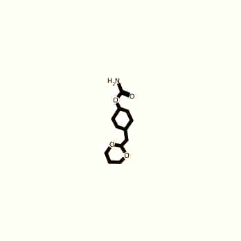 NC(=O)OC1CCC(CC2OCCCO2)CC1